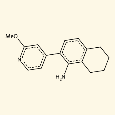 COc1cc(-c2ccc3c(c2N)CCCC3)ccn1